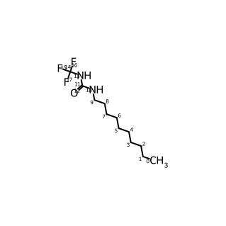 CCCCCCCCCCNC(=O)NC(F)(F)F